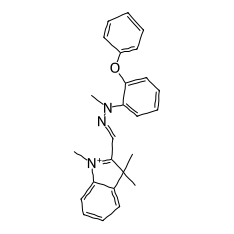 CN(/N=C/C1=[N+](C)c2ccccc2C1(C)C)c1ccccc1Oc1ccccc1